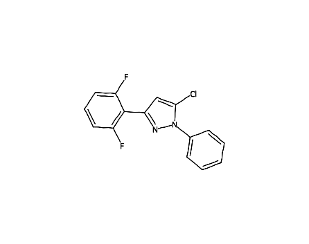 Fc1cccc(F)c1-c1cc(Cl)n(-c2ccccc2)n1